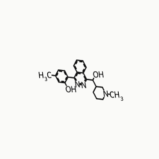 Cc1ccc(-c2nnc(C(O)C3CCCN(C)C3)c3ccccc23)c(O)c1